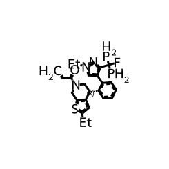 C=CC(=O)N1Cc2sc(CC)cc2[C@@H](c2ccccc2-c2cn(CC)nc2C(F)(P)P)C1